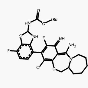 CC(C)(C)OC(=O)NC1Nc2c(C3=C(F)C(=N)C4=C(N)N5CCCCCC5COC4=C3Cl)ccc(F)c2S1